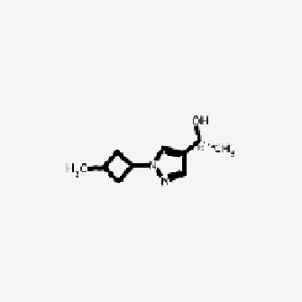 CC1CC(n2cc([C@@H](C)O)cn2)C1